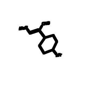 CCCC1CCC(C(C=O)=COC)CC1